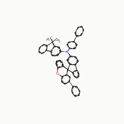 CC1(C)c2ccccc2-c2ccc(N(c3ccc(-c4ccccc4)cc3)c3ccc4c(c3)C3(c5ccccc5Oc5ccc(-c6ccccc6)cc53)c3ccccc3-4)cc21